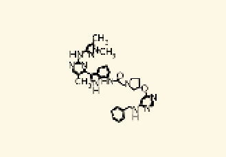 Cc1cnc(Nc2cc(C)n(C)n2)nc1-c1c[nH]c2c(NC(=O)CN3CC[C@H](Oc4cc(NCc5ccccc5)ncn4)C3)cccc12